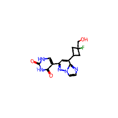 O=c1[nH]cc(-c2cc(C3CC(F)(CO)C3)c3nccn3n2)c(=O)[nH]1